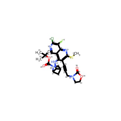 CSc1nc2c(F)c(Cl)ncc2c(NC2C3CC2N(C(=O)OC(C)(C)C)C3)c1C#CCN1CCOC1=O